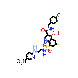 O=C(NCc1ccc(Cl)cc1)c1cnc2c(S(=O)(=O)NCCNc3ccc([N+](=O)[O-])cn3)cc(F)cc2c1O